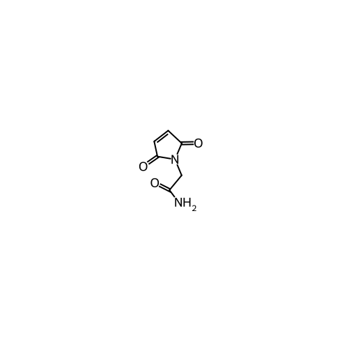 NC(=O)CN1C(=O)C=CC1=O